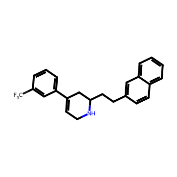 FC(F)(F)c1cccc(C2=CCNC(CCc3ccc4ccccc4c3)C2)c1